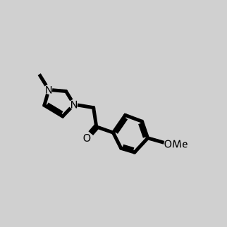 COc1ccc(C(=O)CN2C=CN(C)C2)cc1